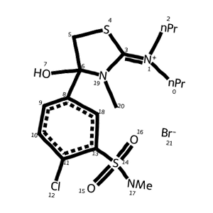 CCC[N+](CCC)=C1SCC(O)(c2ccc(Cl)c(S(=O)(=O)NC)c2)N1C.[Br-]